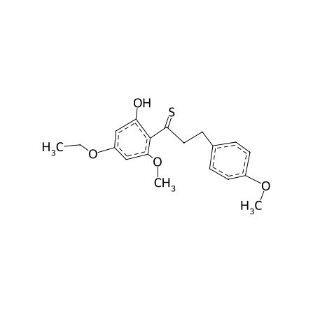 CCOc1cc(O)c(C(=S)CCc2ccc(OC)cc2)c(OC)c1